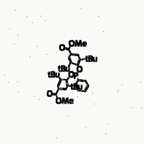 COC(=O)c1cc(C(C)(C)C)c(OP(Oc2c(C(C)(C)C)cc(C(=O)OC)cc2C(C)(C)C)c2ccccc2)c(C(C)(C)C)c1